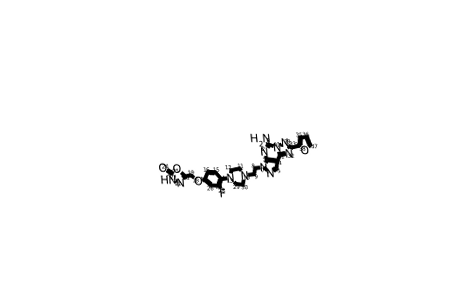 Nc1nc2c(cnn2CCN2CCN(c3ccc(OCc4n[nH]c(=O)o4)cc3F)CC2)c2nc(-c3ccco3)nn12